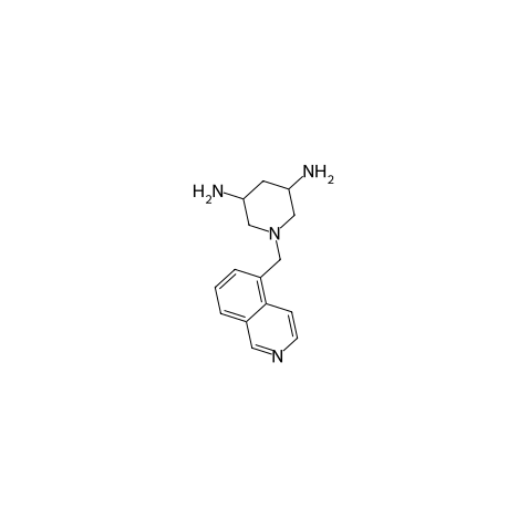 NC1CC(N)CN(Cc2cccc3cnccc23)C1